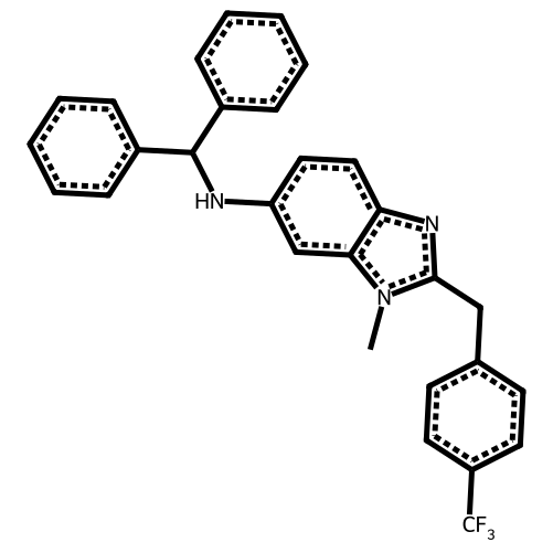 Cn1c(Cc2ccc(C(F)(F)F)cc2)nc2ccc(NC(c3ccccc3)c3ccccc3)cc21